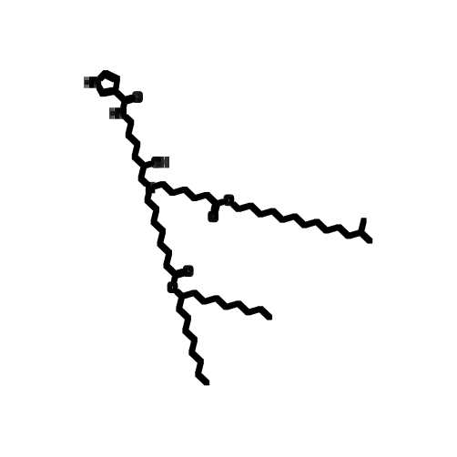 CCCCCCCCC(CCCCCCCC)OC(=O)CCCCCCCN(CCCCCC(=O)OCCCCCCCCCCCC(C)C)CC(O)CCCCNC(=O)c1cc[nH]c1